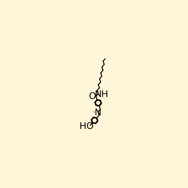 CCCCCCCCCCCCNC(=O)c1ccc(C[N]Cc2ccc(O)cc2)cc1